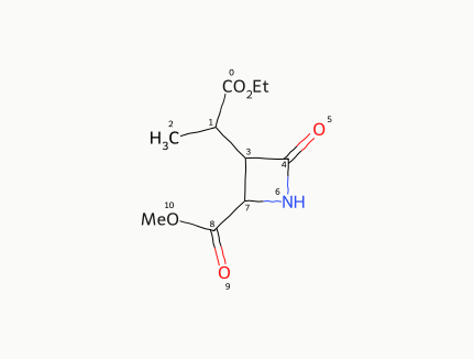 CCOC(=O)C(C)C1C(=O)NC1C(=O)OC